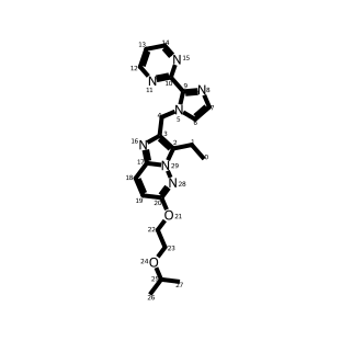 CCc1c(Cn2ccnc2-c2ncccn2)nc2ccc(OCCOC(C)C)nn12